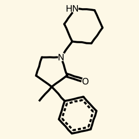 CC1(c2ccccc2)CCN(C2CCCNC2)C1=O